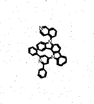 c1ccc(-c2cc(-n3c4ccccc4c4ccc5c(c6ccccc6n5-c5cccc6cnccc56)c43)cc(-c3ccccc3)n2)cc1